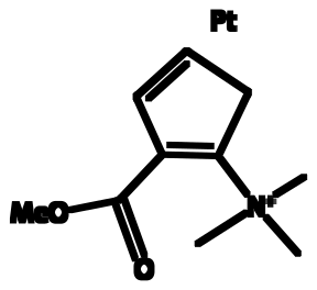 COC(=O)C1=C([N+](C)(C)C)CC=C1.[Pt]